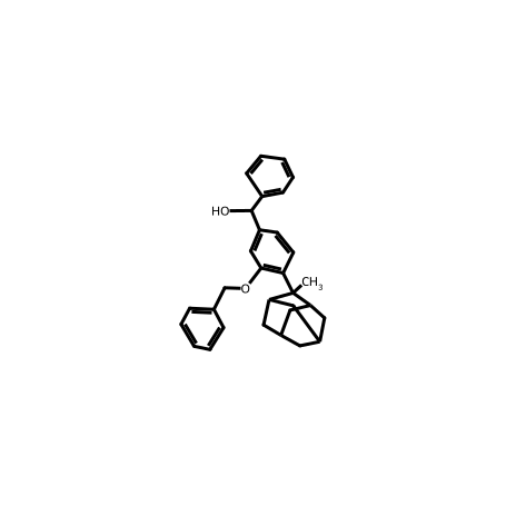 CC1(c2ccc(C(O)c3ccccc3)cc2OCc2ccccc2)C2CC3CC(C2)CC1C3